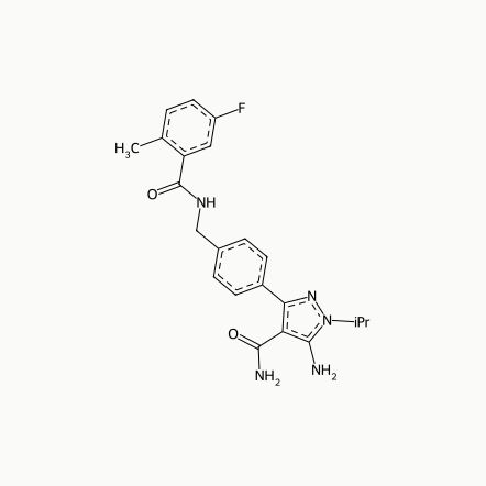 Cc1ccc(F)cc1C(=O)NCc1ccc(-c2nn(C(C)C)c(N)c2C(N)=O)cc1